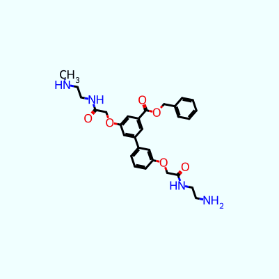 CNCCNC(=O)COc1cc(C(=O)OCc2ccccc2)cc(-c2cccc(OCC(=O)NCCN)c2)c1